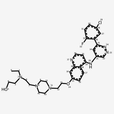 CCN(CCO)CCN1CCN(CCOc2ccc3c(Nc4cnnc(-c5cc(Cl)ccc5F)c4)ccnc3c2)CC1